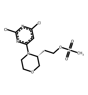 CS(=O)(=O)OCC[C@@H]1COCCN1c1cc(Cl)nc(Cl)n1